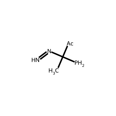 CC(=O)C(C)(P)N=N